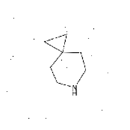 C1CC2(CCN1)CC2